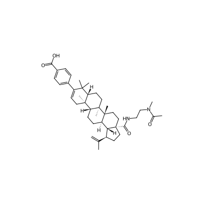 C=C(C)[C@@H]1CC[C@]2(C(=O)NCCN(C)C(C)=O)CC[C@]3(C)[C@H](CC[C@@H]4[C@@]5(C)CC=C(c6ccc(C(=O)O)cc6)C(C)(C)[C@@H]5CC[C@]43C)[C@@H]12